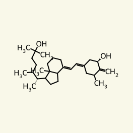 C=C1C(C)C/C(=C\C=C2/CCCC3(C)C2CCC3[C@H](C)C(C)CCC(C)(C)O)C[C@H]1O